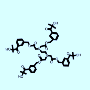 CC(C)(O)C(=O)c1cccc(COC(=O)CN(CCN(CC(=O)OCc2cccc(C(=O)C(C)(C)O)c2)CC(=O)OCc2cccc(C(=O)C(C)(C)O)c2)CC(=O)OCc2cccc(C(=O)C(C)(C)O)c2)c1